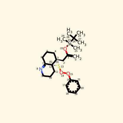 C=C(C[C@@H]1CCCC2=NCCC[C@@]21SOOc1ccccc1)O[Si](C)(C)C(C)(C)C